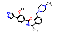 COc1cc(C(=O)NC(C)c2cccc(CN3CCN(C)CC3)c2)ccc1-c1cn[nH]c1